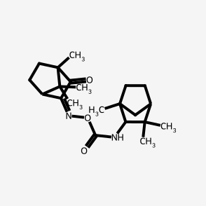 CC12CCC(C1)C(C)(C)C2NC(=O)ON=C1C(=O)C2(C)CCC1C2(C)C